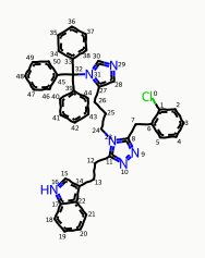 Clc1ccccc1Cc1nnc(CCc2c[nH]c3ccccc23)n1CCCc1cncn1C(c1ccccc1)(c1ccccc1)c1ccccc1